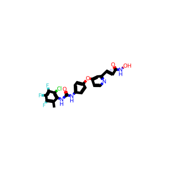 Cc1c(F)c(F)c(F)c(Cl)c1NC(=O)Nc1ccc(Oc2ccnc(/C=C/C(=O)NO)c2)cc1